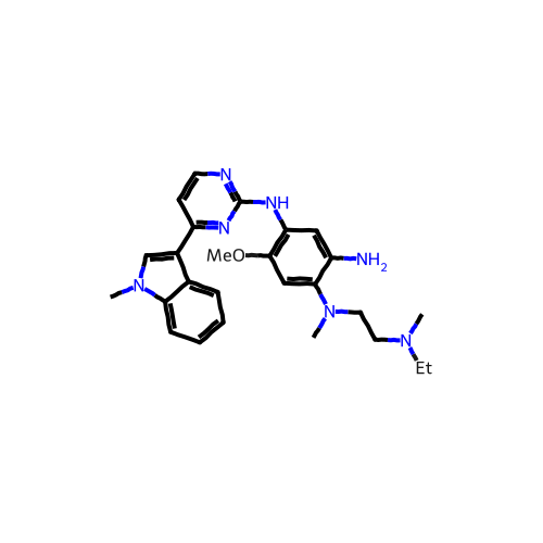 CCN(C)CCN(C)c1cc(OC)c(Nc2nccc(-c3cn(C)c4ccccc34)n2)cc1N